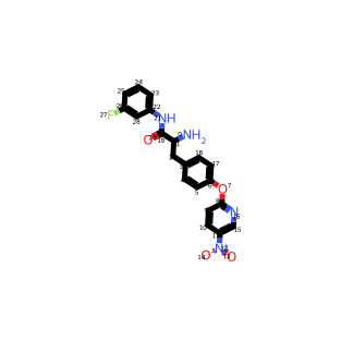 NC(Cc1ccc(Oc2ccc([N+](=O)[O-])cn2)cc1)C(=O)Nc1cccc(F)c1